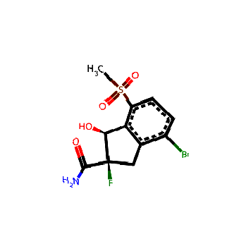 CS(=O)(=O)c1ccc(Br)c2c1[C@H](O)[C@@](F)(C(N)=O)C2